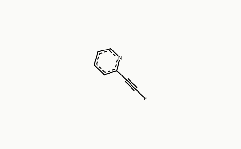 FC#Cc1[c]cccn1